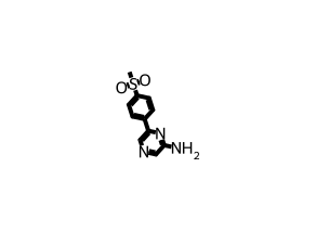 CS(=O)(=O)c1ccc(-c2cncc(N)n2)cc1